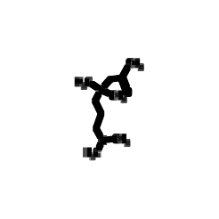 CC(=O)C[N+](C)(C)CCCN(C)C